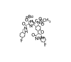 CCCCOc1ccc(-c2cc3c(C(=O)NC)c(-c4ccc(F)cc4)oc3cc2N(C)S(C)(=O)=O)nc1C(=O)NCc1ccc(F)cc1